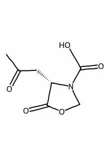 CC(=O)C[C@H]1C(=O)OCN1C(=O)O